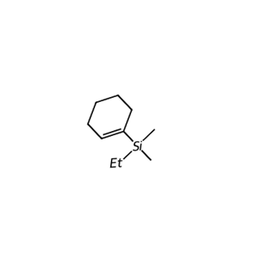 CC[Si](C)(C)C1=CCCCC1